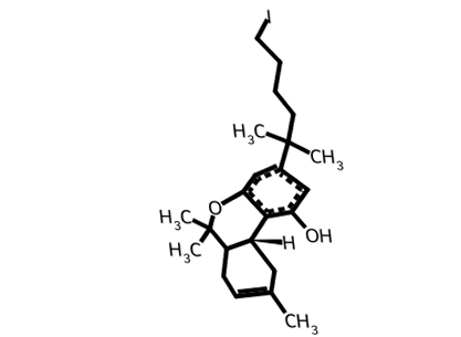 CC1=CCC2[C@@H](C1)c1c(O)cc(C(C)(C)CCCCI)cc1OC2(C)C